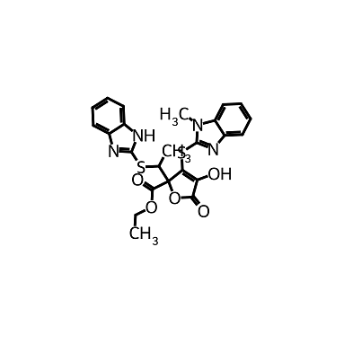 CCOC(=O)C1(C(C)Sc2nc3ccccc3[nH]2)OC(=O)C(O)=C1Sc1nc2ccccc2n1C